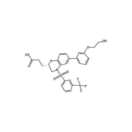 O=C(O)CC[C@H]1CN(S(=O)(=O)c2cccc(C(F)(F)F)c2)c2cc(-c3cccc(OCCO)c3)ccc2O1